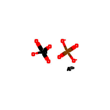 O=S(=O)([O-])[O-].[Al+3].[O]=[Mn](=[O])(=[O])[O-]